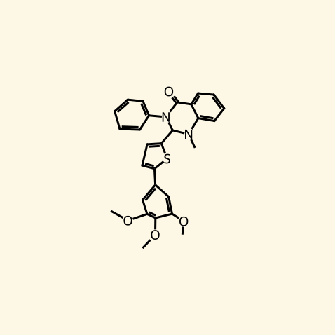 COc1cc(-c2ccc(C3N(C)c4ccccc4C(=O)N3c3ccccc3)s2)cc(OC)c1OC